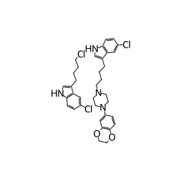 ClCCCCc1c[nH]c2ccc(Cl)cc12.Clc1ccc2[nH]cc(CCCCN3CCN(c4ccc5c(c4)OCCO5)CC3)c2c1